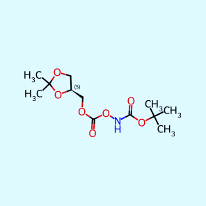 CC(C)(C)OC(=O)NOC(=O)OC[C@@H]1COC(C)(C)O1